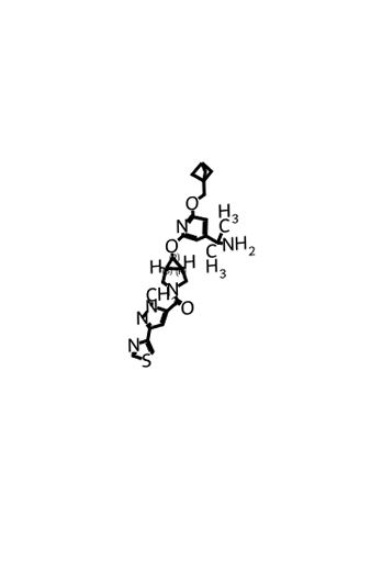 Cn1nc(-c2cscn2)cc1C(=O)N1C[C@@H]2[C@H](C1)[C@@H]2Oc1cc(C(C)(C)N)cc(OCC23CC(C2)C3)n1